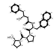 N[C@H](CC(=O)N[C@@H](Cc1ccc2ccccc2c1)C(=O)N1CCC[C@H]1C(=O)N1CCC[C@H]1C(=O)O)Cc1ccccc1